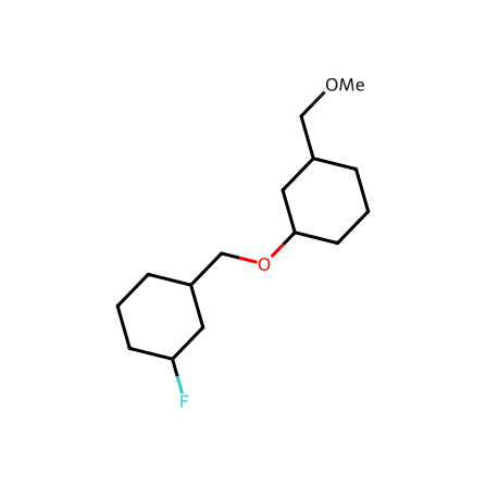 COCC1CCCC(OCC2CCCC(F)C2)C1